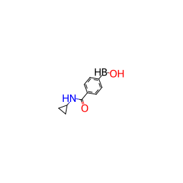 O=C(NC1CC1)c1ccc(BO)cc1